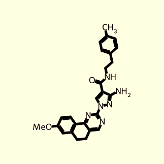 COc1ccc2c(c1)CCc1cnc(-n3cc(C(=O)NCCc4ccc(C)cc4)c(N)n3)nc1-2